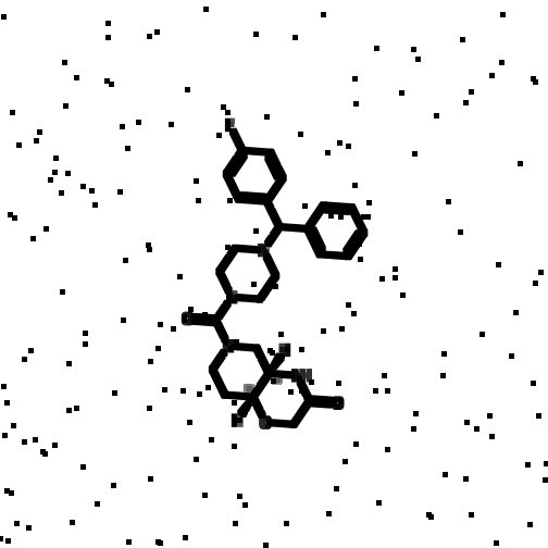 O=C1CO[C@@H]2CCN(C(=O)N3CCN(C(c4ccccc4)c4ccc(F)cc4)CC3)C[C@@H]2N1